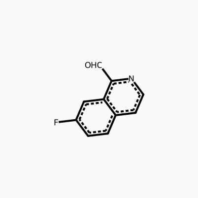 O=Cc1nccc2ccc(F)cc12